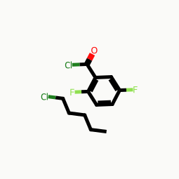 CCCCCCl.O=C(Cl)c1cc(F)ccc1F